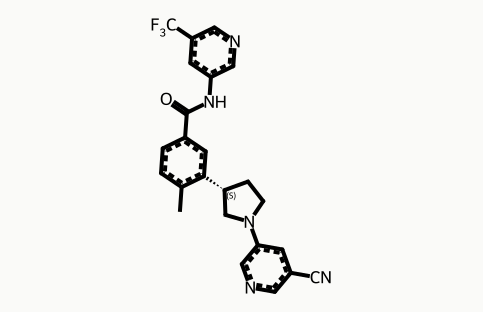 Cc1ccc(C(=O)Nc2cncc(C(F)(F)F)c2)cc1[C@@H]1CCN(c2cncc(C#N)c2)C1